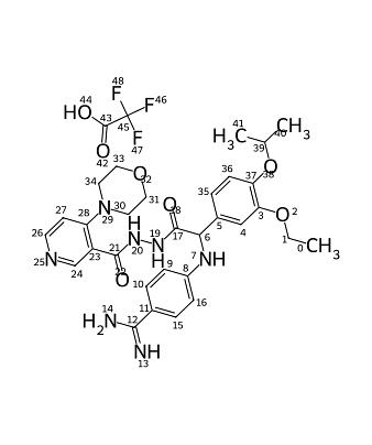 CCOc1cc(C(Nc2ccc(C(=N)N)cc2)C(=O)NNC(=O)c2cnccc2N2CCOCC2)ccc1OC(C)C.O=C(O)C(F)(F)F